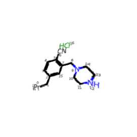 CC(C)Cc1ccc(C#N)c(CN2CCNCC2)c1.Cl